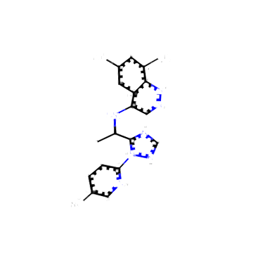 CC(Nc1cnnc2c(C(F)(F)F)cc(C(F)(F)F)cc12)c1ncnn1-c1ccc(C#N)cn1